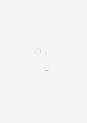 CC1=NN(c2ccc(C(F)(F)F)cc2)C(O)C1C(OCI)c1ccc(C(F)(F)F)cc1